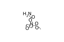 CCOC(=O)c1cc2occc2n1COC(=O)CN